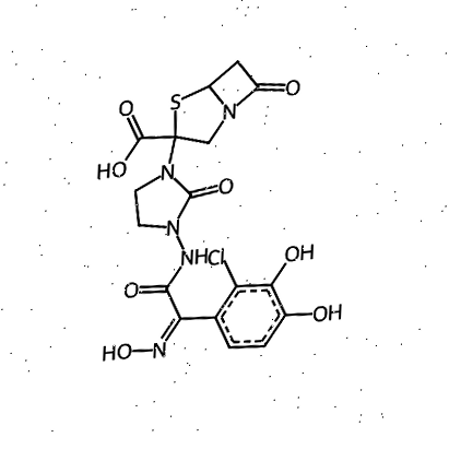 O=C(NN1CCN(C2(C(=O)O)CN3C(=O)CC3S2)C1=O)/C(=N\O)c1ccc(O)c(O)c1Cl